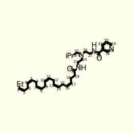 CC/C=C\C/C=C\C/C=C\C/C=C\C/C=C\C/C=C\CCC(=O)NCCN(CCNC(=O)c1cccnc1)CC(C)C